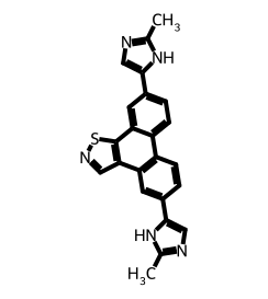 Cc1ncc(-c2ccc3c(c2)c2cnsc2c2cc(-c4cnc(C)[nH]4)ccc32)[nH]1